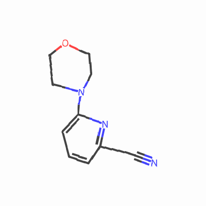 N#Cc1cccc(N2CCOCC2)n1